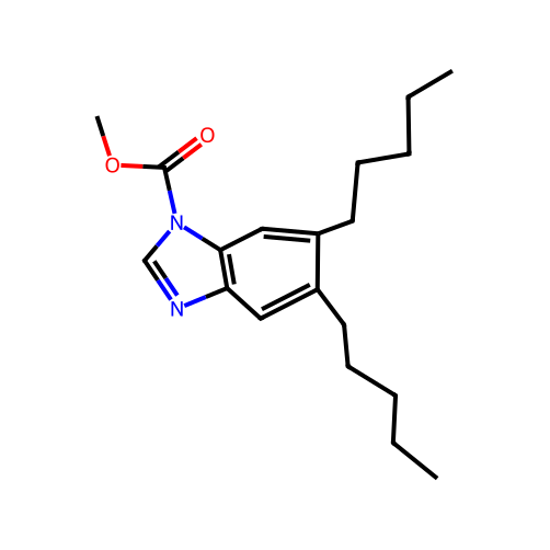 CCCCCc1cc2ncn(C(=O)OC)c2cc1CCCCC